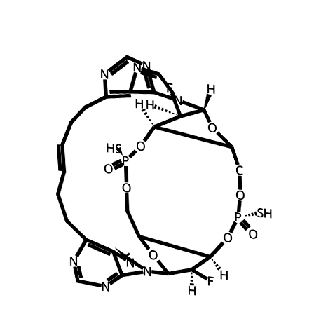 O=[P@]1(S)OCC2O[C@@H]3[C@H](F)[C@@H]2O[P@](=O)(S)OCC2OC([C@H](F)[C@@H]2O1)n1cnc2c(ncnc21)CC/C=C/CCc1ncnc2c1ncn23